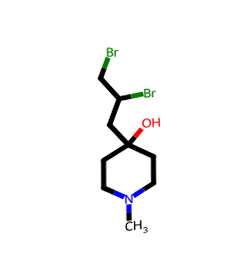 CN1CCC(O)(CC(Br)CBr)CC1